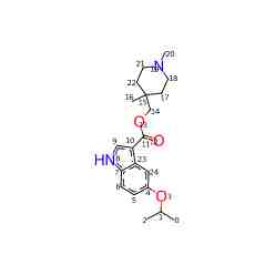 CC(C)Oc1ccc2[nH]cc(C(=O)OCC3(C)CCN(C)CC3)c2c1